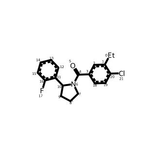 CCc1cc(C(=O)N2C[CH]CC2c2ccccc2F)ccc1Cl